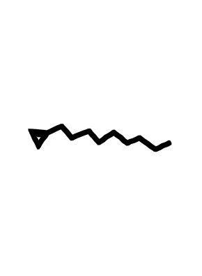 CCCCCCCCCC1=CC1